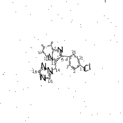 Clc1ccc(-c2nc3ccccn3c2Cn2cncn2)cc1